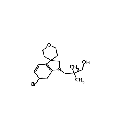 CC(C)(CO)CN1CC2(CCOCC2)c2ccc(Br)cc21